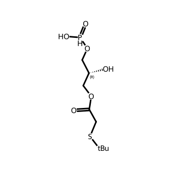 CC(C)(C)SCC(=O)OC[C@@H](O)CO[PH](=O)O